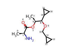 C[C@H](N)C(=O)O[C@@H](C)[C@H](OCC1CC1)C1CC1